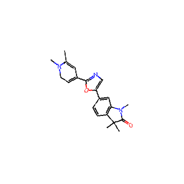 CC1=CC(c2ncc(-c3ccc4c(c3)N(C)C(=O)C4(C)C)o2)=CCN1C